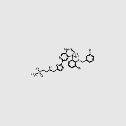 CS(=O)(=O)CCNCc1ccc(-c2cc3c(cn2)NC=NC3(N)c2cccc(Br)c2OCc2cccc(F)c2)o1